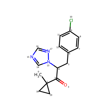 CC1(C(=O)C(Cc2ccc(Cl)cc2)n2cncn2)CC1